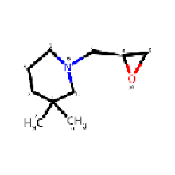 CC1(C)CCCN(C[C@H]2CO2)C1